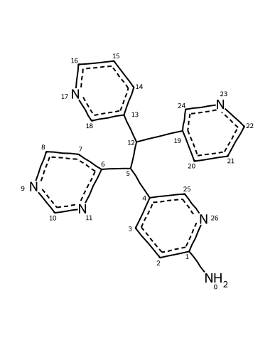 Nc1ccc(C(c2ccncn2)C(c2cccnc2)c2cccnc2)cn1